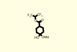 COC1(O)CCC(C(=O)OC(C(F)(F)F)C(F)(F)F)CC1